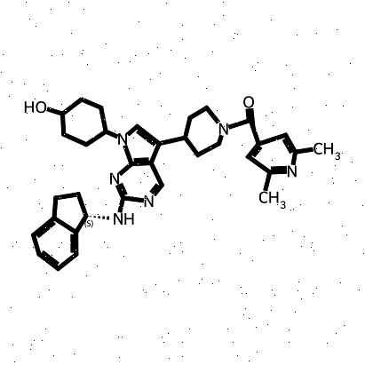 Cc1cc(C(=O)N2CCC(c3cn(C4CCC(O)CC4)c4nc(N[C@H]5CCc6ccccc65)ncc34)CC2)cc(C)n1